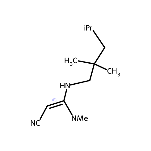 CN/C(=C\C#N)NCC(C)(C)CC(C)C